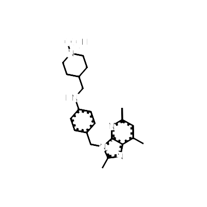 Cc1cc(C)c2nc(C)n(Cc3ccc(NCC4CCN(C(=O)O)CC4)cc3)c2n1